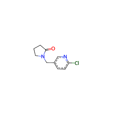 O=C1CCCN1Cc1ccc(Cl)nc1